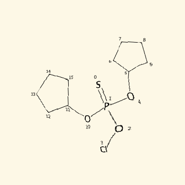 S=P(OCl)(OC1CCCC1)OC1CCCC1